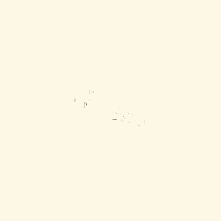 CC(C)C[C@@H](NCCCCCOc1cc(F)c(-n2c(N)c(C(=O)c3ccc(F)cc3F)ccc2=O)c(F)c1)C(=O)OC(C)(C)C